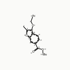 CC(=O)COc1c(C)oc2cc(C(=O)OC(C)(C)C)ccc12